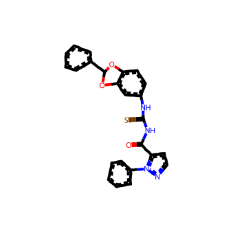 O=C(NC(=S)Nc1ccc2c(c1)OC(c1ccccc1)O2)c1ccnn1-c1ccccc1